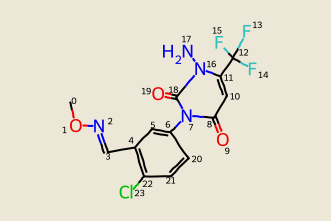 CO/N=C/c1cc(-n2c(=O)cc(C(F)(F)F)n(N)c2=O)ccc1Cl